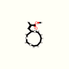 COC(=O)C(C)=CC1CCCCCCCCCCC1